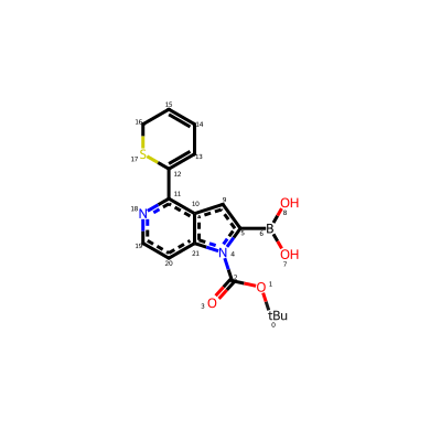 CC(C)(C)OC(=O)n1c(B(O)O)cc2c(C3=CC=CCS3)nccc21